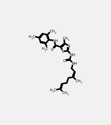 CC(C)=CCCC(C)=CCNC(=O)Nc1nc(C)c(C(=O)Nc2c(C)cc(C)cc2C)s1